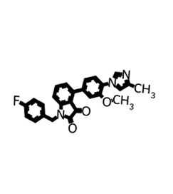 COc1cc(-c2cccc3c2C(=O)C(=O)N3Cc2ccc(F)cc2)ccc1-n1cnc(C)c1